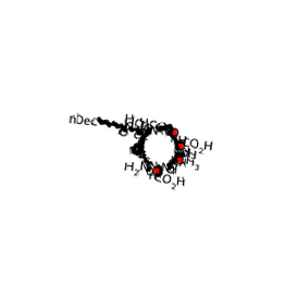 CCCCCCCCCCCCCCCCCC(=O)NCCC(=O)N[C@H]1CSCc2ccccc2CSC[C@@H](C(N)=O)NC(=O)[C@H](CCC(=O)O)NC(=O)CNC(=O)[C@H]([C@@H](C)O)NC(=O)[C@H](CCC(=O)O)NC(=O)[C@@H]2CCCN2C(=O)[C@H](CC(=O)O)NC1=O